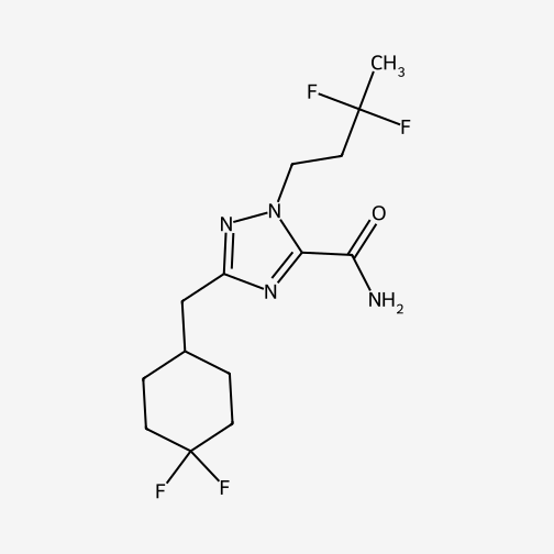 CC(F)(F)CCn1nc(CC2CCC(F)(F)CC2)nc1C(N)=O